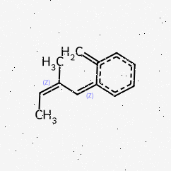 C=c1cccc/c1=C/C(C)=C\C